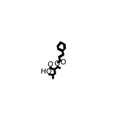 CC(C)CC(C(=O)O)C(C)OC(=O)C=Cc1ccccc1